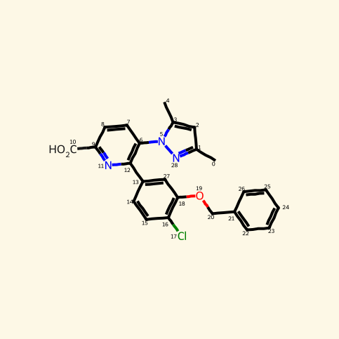 Cc1cc(C)n(-c2ccc(C(=O)O)nc2-c2ccc(Cl)c(OCc3ccccc3)c2)n1